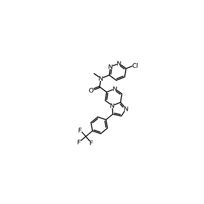 CN(C(=O)c1cn2c(-c3ccc(C(F)(F)F)cc3)cnc2cn1)c1ccc(Cl)nn1